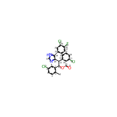 Cc1ccc(Cl)cc1C(OC=O)C(c1cccc(Cl)c1)c1nc[nH]c1-c1ccc(F)c(Cl)c1